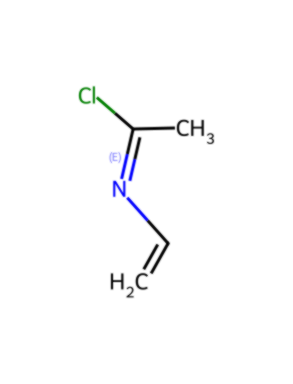 C=C/N=C(\C)Cl